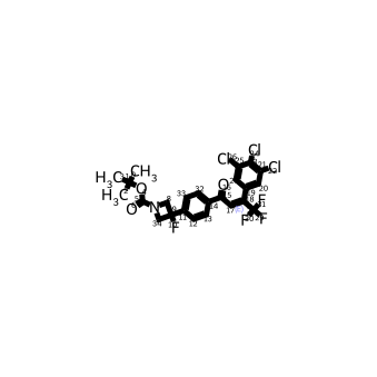 CC(C)(C)OC(=O)N1CC(F)(c2ccc(C(=O)/C=C(\c3cc(Cl)c(Cl)c(Cl)c3)C(F)(F)F)cc2)C1